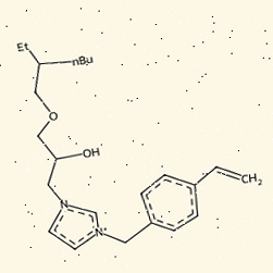 C=Cc1ccc(C[n+]2ccn(CC(O)COCC(CC)CCCC)c2)cc1